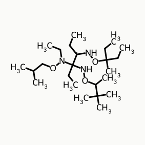 CC[C](NOC(C)(CC)CC)C(CC)(NOC(C)C(C)(C)C)N(CC)OCC(C)C